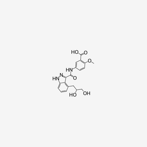 COc1ccc(NC(=O)c2n[nH]c3cccc(CC(O)CO)c23)cc1C(=O)O